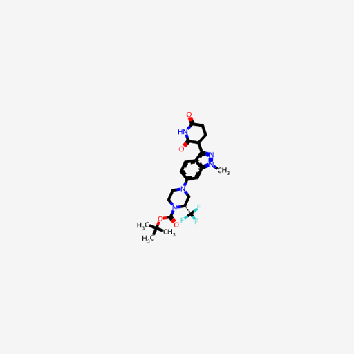 Cn1nc(C2CCC(=O)NC2=O)c2ccc(N3CCN(C(=O)OC(C)(C)C)[C@@H](C(F)(F)F)C3)cc21